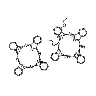 CCOc1cccc2c3[nH]c(c12)/N=C1\N=C(Nc2[nH]c(c4ccccc24)/N=C2\N=C(c4ccccc42)N3OCC)c2ccccc21.c1ccc2c(c1)-c1nc-2nc2[nH]c(nc3nc(nc4[nH]c(n1)c1ccccc41)-c1ccccc1-3)c1ccccc21